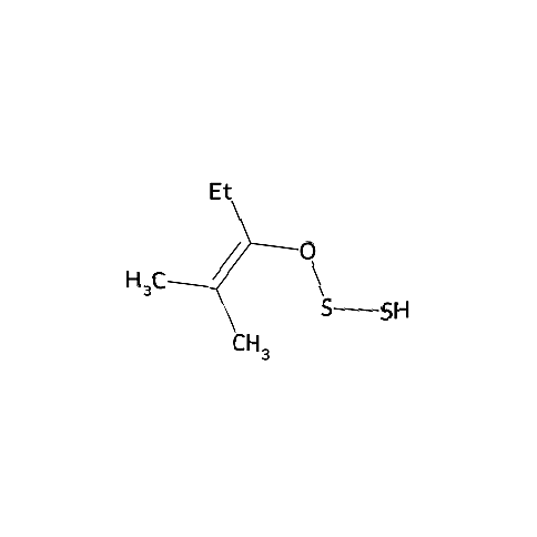 CCC(OSS)=C(C)C